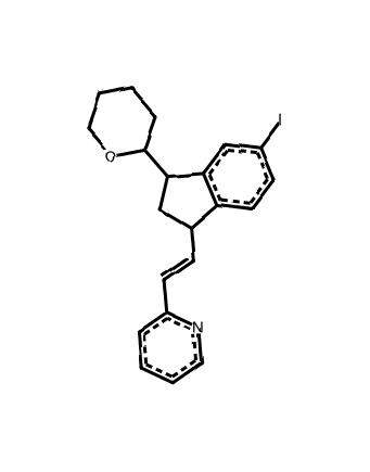 Ic1ccc2c(c1)C(C1CCCCO1)CC2C=Cc1ccccn1